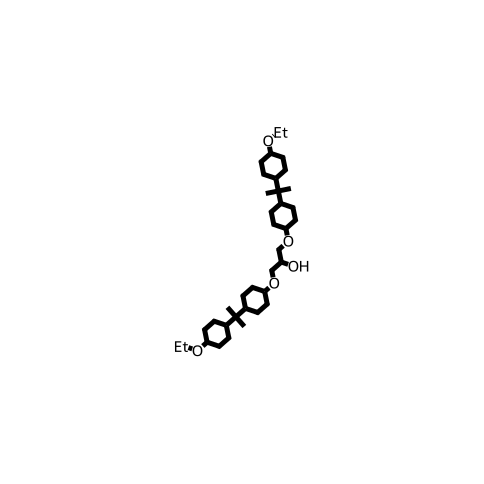 CCOC1CCC(C(C)(C)C2CCC(OCC(O)COC3CCC(C(C)(C)C4CCC(OCC)CC4)CC3)CC2)CC1